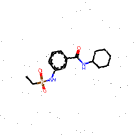 CCS(=O)(=O)Nc1cccc(C(=O)NC2CCCCC2)c1